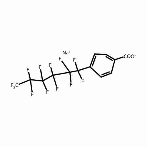 O=C([O-])c1ccc(C(F)(F)C(F)(F)C(F)(F)C(F)(F)C(F)(F)C(F)(F)F)cc1.[Na+]